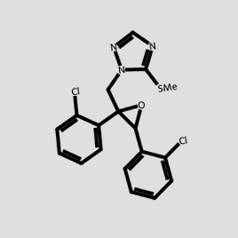 CSc1ncnn1CC1(c2ccccc2Cl)OC1c1ccccc1Cl